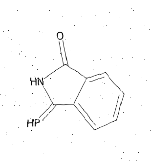 O=C1NC(=P)c2ccccc21